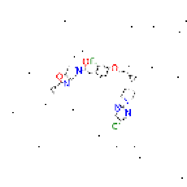 O=C(Cc1ccc(OCC[C@@H]2C[C@@H]2C2CCN(c3ncc(Cl)cn3)CC2)cc1F)N1CCc2oc(C3CC3)nc2C1